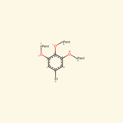 [CH2]Cc1cc(OCCCCC)c(OCCCCC)c(OCCCCC)c1